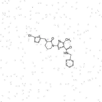 CCc1ccc(/C=C2\CCCN(c3nc(C)c(C(=O)NCc4ccccc4)s3)C2=O)s1